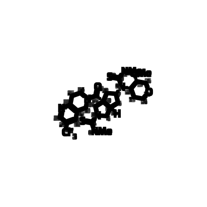 CNC(=S)N1C[C@@H]2C[C@@H](N(C(=S)NC)[C@H]3CCOC[C@H]3OC)C[C@]2(C(=O)N2CCc3ncc(C(F)(F)F)cc3C2)C1